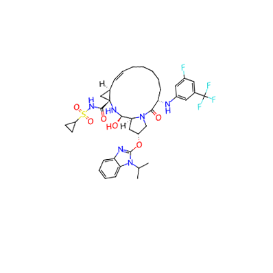 CC(C)n1c(O[C@@H]2C[C@H]3[C@@H](O)N[C@]4(C(=O)NS(=O)(=O)C5CC5)C[C@H]4/C=C\CCCCC[C@H](Nc4cc(F)cc(C(F)(F)F)c4)C(=O)N3C2)nc2ccccc21